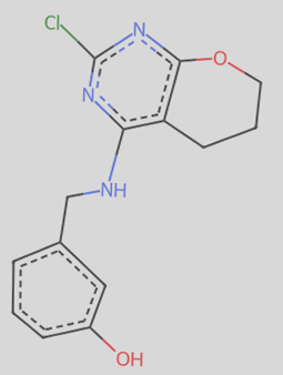 Oc1cccc(CNc2nc(Cl)nc3c2CCCO3)c1